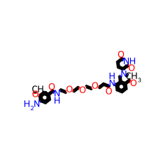 COc1cc(C(=O)NCCOCCOCCOCCC(=O)Nc2cccc(C=O)c2CN(C)C2CCC(=O)NC2=O)ccc1N